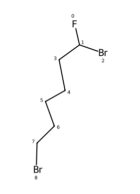 FC(Br)CCCCCBr